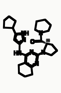 O=C([C@@H]1CCCN1c1nc2c(c(Nc3cc(C4CCCC4)[nH]n3)n1)CCCC2)N1CCCCC1